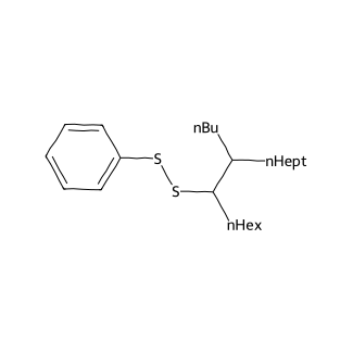 CCCCCCCC(CCCC)C(CCCCCC)SSc1ccccc1